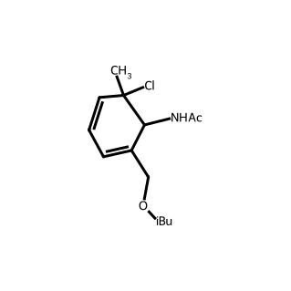 CCC(C)OCC1=CC=CC(C)(Cl)C1NC(C)=O